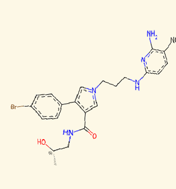 C[C@H](O)CNC(=O)c1cn(CCCNc2ccc([N+](=O)[O-])c(N)n2)cc1-c1ccc(Br)cc1